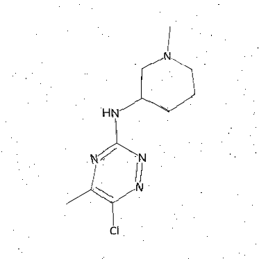 Cc1nc(NC2CCCN(C)C2)nnc1Cl